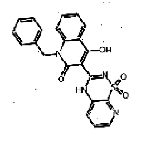 O=c1c(C2=NS(=O)(=O)c3ncccc3N2)c(O)c2ccccc2n1Cc1ccccc1